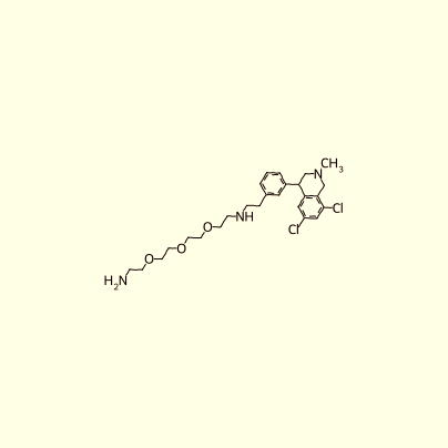 CN1Cc2c(Cl)cc(Cl)cc2C(c2cccc(CCNCCOCCOCCOCCN)c2)C1